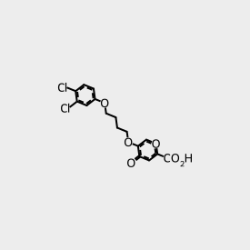 O=C(O)c1cc(=O)c(OCCCCOc2ccc(Cl)c(Cl)c2)co1